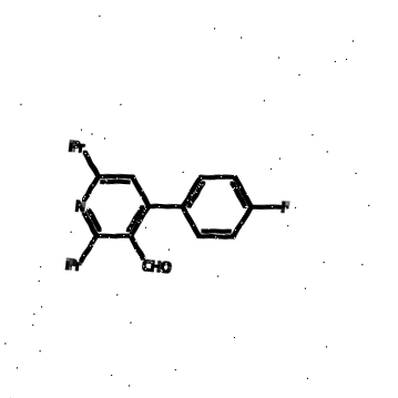 CC(C)c1cc(-c2ccc(F)cc2)c(C=O)c(C(C)C)n1